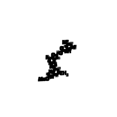 COc1cnc2c(-c3nc4cc(F)c5c(c4s3)C[C@H](COC(=O)Nc3cc(F)cc(C#N)c3)O5)cc(C)cc2n1